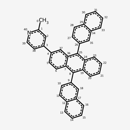 Cc1cc(-c2ccc3c(-c4ccc5ccccc5c4)c4ccccc4c(-c4ccc5ccccc5c4)c3c2)ccn1